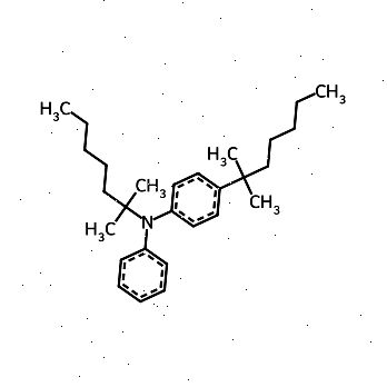 CCCCCC(C)(C)c1ccc(N(c2ccccc2)C(C)(C)CCCCC)cc1